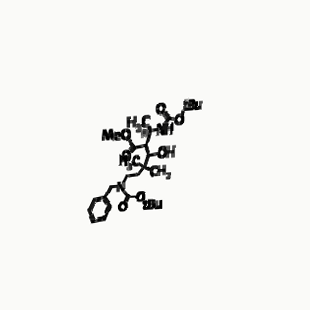 COC(=O)C(C(O)C(C)(C)CCN(Cc1ccccc1)C(=O)OC(C)(C)C)[C@@H](C)NC(=O)OC(C)(C)C